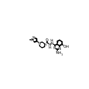 Cn1cc(N2CCC[C@@H](C(=O)NNc3nc(N)nc4c(O)cccc34)C2)cn1